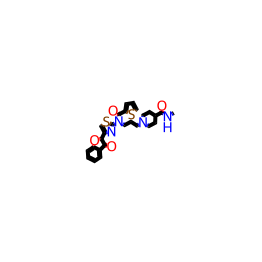 CNC(=O)C1CCN(CCCN(C(=O)c2cccs2)c2nc(C3Oc4ccccc4C3=O)cs2)CC1